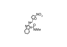 CNC(=O)n1c(N=Cc2ccc([N+](=O)[O-])o2)nc2ccccc21